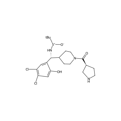 CC(C)(C)[S+]([O-])N[C@@H](c1cc(Cl)c(Cl)cc1O)C1CCN(C(=O)[C@H]2CCNC2)CC1